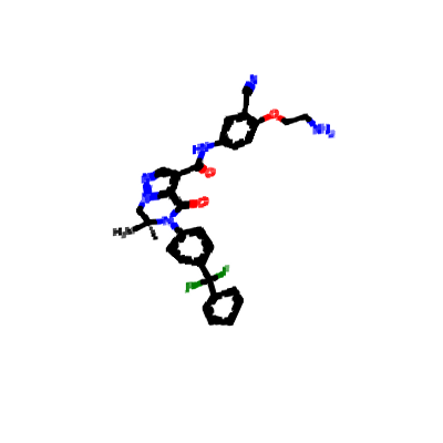 C[C@]1([SiH3])Cn2ncc(C(=O)Nc3ccc(OCCN)c(C#N)c3)c2C(=O)N1c1ccc(C(F)(F)c2ccccc2)cc1